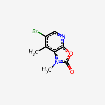 Cc1c(Br)cnc2oc(=O)n(C)c12